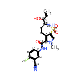 C=C[C@H](O)[C@@H]1CCc2c(cn(C)c2C(=O)Nc2ccc(F)c(C#N)c2)S(=O)(=O)N1